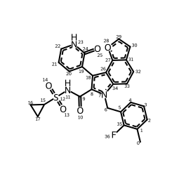 Cc1cccc(Cn2c(C(=O)NS(=O)(=O)C3CC3)c(-c3ccc[nH]c3=O)c3c4occc4ccc32)c1F